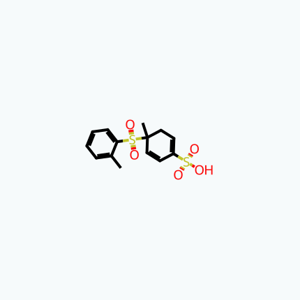 Cc1ccccc1S(=O)(=O)C1(C)C=CC(S(=O)(=O)O)=CC1